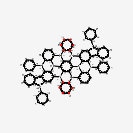 c1ccc(N2c3cccc4c3B3c5c2c2c6c(c5N(c5ccccc5)c5cc7c(c(c53)N4c3ccccc3)c3ccccc3n7-c3ccccc3)N(c3ccccc3)c3cccc4c3B6c3c(cc5c(c3N4c3ccccc3)c3ccccc3n5-c3ccccc3)N2c2ccccc2)cc1